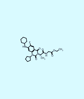 CCOC(=O)CNC(=O)[C@H](C)n1c(=O)c2cc(F)c(NC3CCCCC3)cc2n(C2CCCC2)c1=O